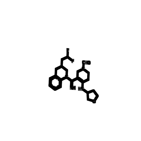 N=C(C1=C(NC2CCOC2)CCN(C=O)C1)N1CC(CC(F)F)Cc2ccccc21